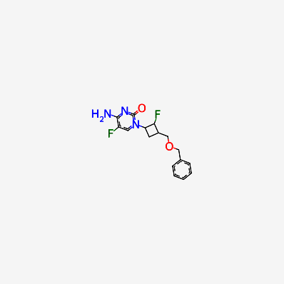 Nc1nc(=O)n(C2CC(COCc3ccccc3)C2F)cc1F